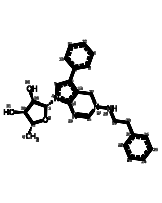 C[C@H]1O[C@@H](n2cc(-c3ccccc3)c3c2N=CN(NCCc2ccccc2)C3)[C@H](O)[C@@H]1O